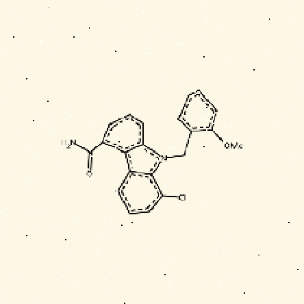 COc1ccccc1Cn1c2cccc(C(N)=O)c2c2[c]ccc(Cl)c21